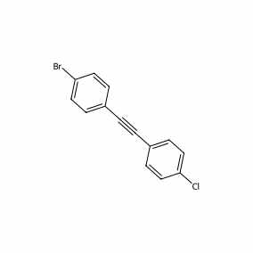 Clc1ccc(C#Cc2ccc(Br)cc2)cc1